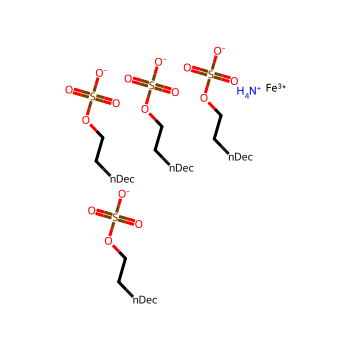 CCCCCCCCCCCCOS(=O)(=O)[O-].CCCCCCCCCCCCOS(=O)(=O)[O-].CCCCCCCCCCCCOS(=O)(=O)[O-].CCCCCCCCCCCCOS(=O)(=O)[O-].[Fe+3].[NH4+]